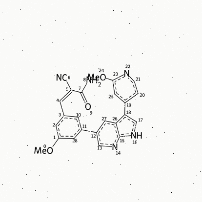 COc1cc(C=C(C#N)C(N)=O)cc(-c2cnc3[nH]cc(-c4ccnc(OC)c4)c3c2)c1